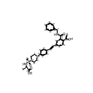 C[C@@H](NS(=O)(=O)N1CCN(c2ccc(C#Cc3ccc(C(=O)O)c(C(=O)NCc4ccccc4)c3)cc2)CC1)C(=O)O